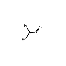 C=[Si]C(O)O